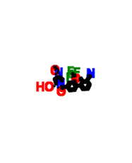 CO/N=C1\C[C@@H](CO)N(C(=O)c2ccc(-c3cccc(C#N)c3C)c(OC(F)(F)F)c2)C1